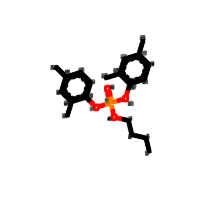 CCCCOP(=O)(Oc1ccc(C)cc1C)Oc1ccc(C)cc1C